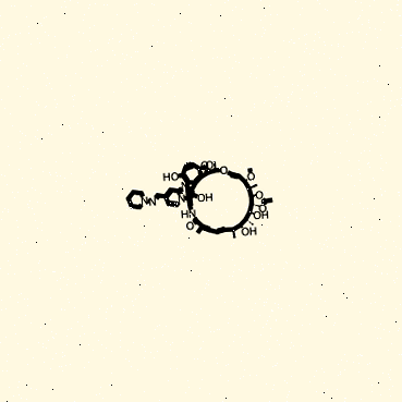 CO[C@H]1/C=C/O[C@@]2(C)OC3C#CC(O)=c4c(O)c(c5c(nc6cc(/C=N/N7CCCCC7)ccn65)c4=C3C2=O)NC(=O)/C(C)=C\C=C\[C@H](C)[C@H](O)[C@@H](C)[C@@H](O)[C@@H](C)[C@H](OC(C)=O)[C@@H]1C